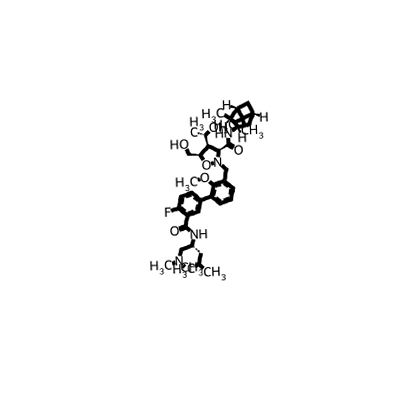 COc1c(CN2O[C@@H](CO)[C@@H]([C@H](C)O)[C@H]2C(=O)N[C@H]2C[C@H]3C[C@@H]([C@@H]2C)C3(C)C)cccc1-c1ccc(F)c(C(=O)N[C@H](CC(C)C)CN(C)C)c1